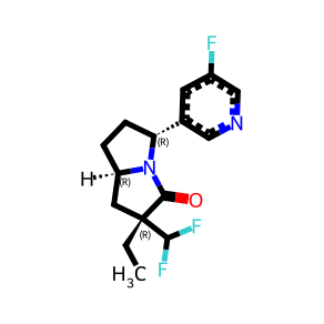 CC[C@@]1(C(F)F)C[C@H]2CC[C@H](c3cncc(F)c3)N2C1=O